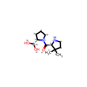 CC1(C)CCN[C@@H]1C(=O)N1CCC[C@H]1B(O)O